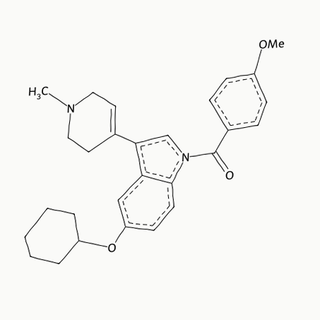 COc1ccc(C(=O)n2cc(C3=CCN(C)CC3)c3cc(OC4CCCCC4)ccc32)cc1